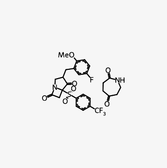 COc1ccc(F)cc1CC1CN2C(=O)CC2(S(=O)(=O)c2ccc(C(F)(F)F)cc2)C1=O.O=C1CCNC(=O)CC1